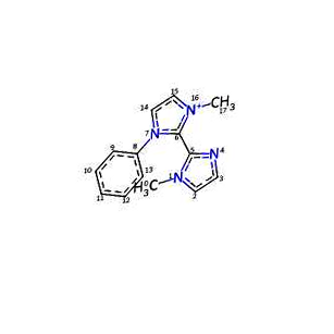 Cn1ccnc1-c1n(-c2ccccc2)cc[n+]1C